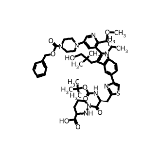 CCn1c(-c2cc(N3CCN(C(=O)OCc4ccccc4)CC3)cnc2[C@H](C)OC)c(CC(C)(C)CO)c2cc(-c3csc(C[C@H](NC(=O)OC(C)(C)C)C(=O)N4CCCC(C(=O)O)N4)n3)ccc21